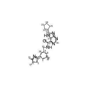 Cc1cn(-c2cc(F)cc(CNC(=O)c3ncnc4nc(C5CCCC5)[nH]c34)c2)nc1C